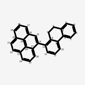 c1ccc2c(c1)CCc1c-2cccc1-c1cc2cccc3ccc4cccc1c4c32